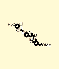 CCN(Cc1cc(CCOC)ccc1Cl)C(=O)C(CN)Cc1ccc(OCCOc2c(Cl)cc(C)cc2Cl)cc1